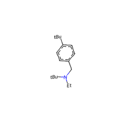 CCN(Cc1ccc(C(C)(C)C)cc1)C(C)(C)C